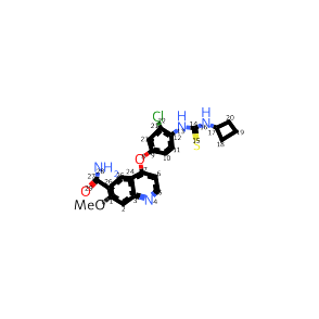 COc1cc2nccc(Oc3ccc(NC(=S)NC4CCC4)c(Cl)c3)c2cc1C(N)=O